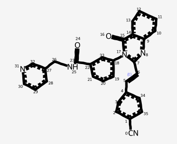 N#Cc1ccc(/C=C/c2nc3ccccc3c(=O)n2-c2cccc(C(=O)NCc3cccnc3)c2)cc1